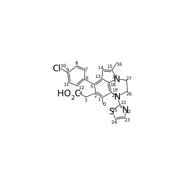 Cc1c(CC(=O)O)c(-c2ccc(Cl)cc2)c2cc(C)n3c2c1N(c1nccs1)CC3